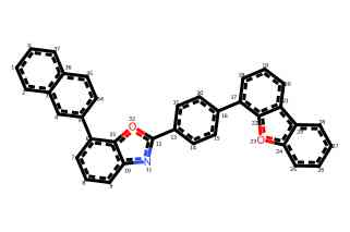 c1ccc2cc(-c3cccc4nc(-c5ccc(-c6cccc7c6oc6ccccc67)cc5)oc34)ccc2c1